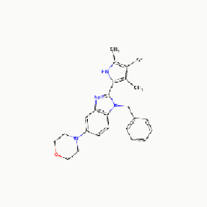 CC(=O)c1c(C)[nH]c(-c2nc3cc(N4CCOCC4)ccc3n2Cc2ccccc2)c1C